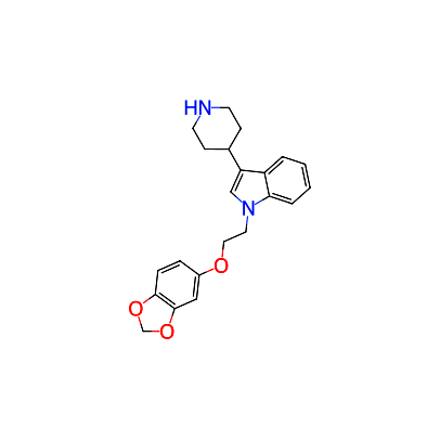 c1ccc2c(c1)c(C1CCNCC1)cn2CCOc1ccc2c(c1)OCO2